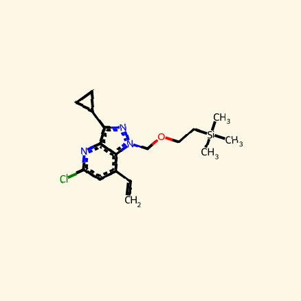 C=Cc1cc(Cl)nc2c(C3CC3)nn(COCC[Si](C)(C)C)c12